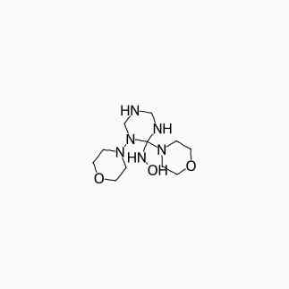 ONC1(N2CCOCC2)NCNCN1N1CCOCC1